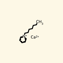 CCCCCCC[n+]1ccccc1.[Ca+2]